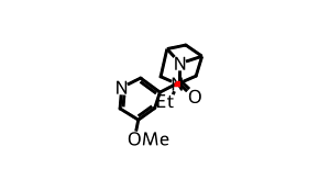 CCN1CC2CC(C1)N2C(=O)c1cncc(OC)c1